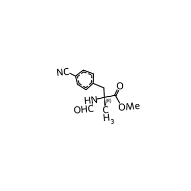 COC(=O)[C@@](C)(Cc1ccc(C#N)cc1)NC=O